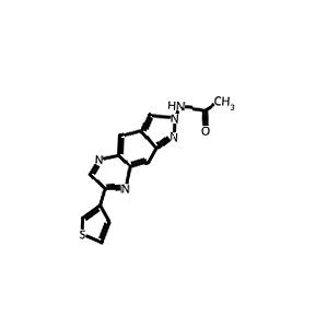 CC(=O)Nn1cc2cc3ncc(-c4ccsc4)nc3cc2n1